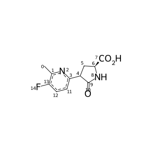 Cc1nc(C2C[C@@H](C(=O)O)NC2=O)ccc1F